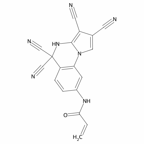 C=CC(=O)Nc1ccc2c(c1)-n1cc(C#N)c(C#N)c1NC2(C#N)C#N